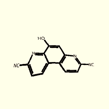 [C-]#[N+]c1ccc2c(cc(O)c3nc(C#N)ccc32)n1